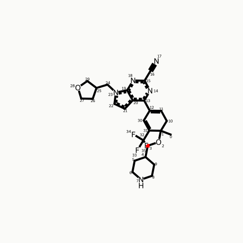 CC1(OCC2CCNCC2)CC=C(c2nc(C#N)nc3c2ccn3CC2CCOC2)C=C1C(F)(F)F